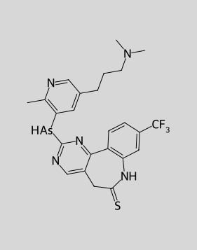 Cc1ncc(CCCN(C)C)cc1[AsH]c1ncc2c(n1)-c1ccc(C(F)(F)F)cc1NC(=S)C2